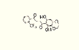 O=C(CCC(=O)c1c(O)cc2c(c1O)OCCO2)c1ccccc1C(F)(F)F